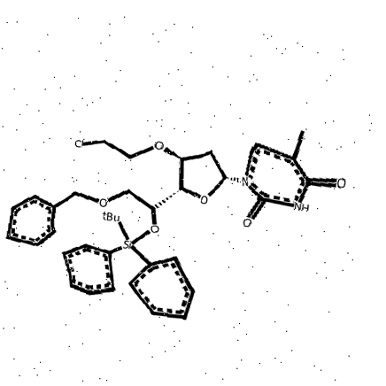 Cc1cn([C@H]2C[C@H](OCCCl)[C@@H](C(COCc3ccccc3)O[Si](c3ccccc3)(c3ccccc3)C(C)(C)C)O2)c(=O)[nH]c1=O